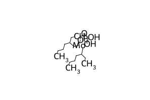 CCCCC(CC)[CH2][Mo]([CH2]C(CC)CCCC)[O]P(=O)(O)O